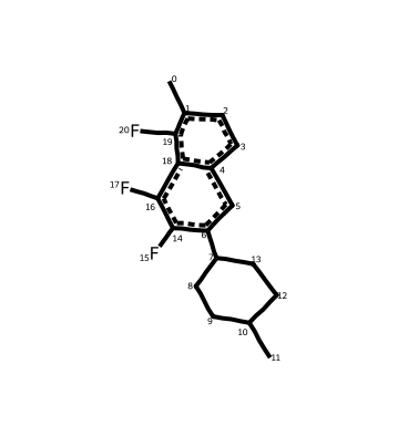 Cc1ccc2cc(C3CCC(C)CC3)c(F)c(F)c2c1F